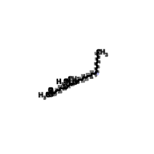 CCCCCCCC/C=C\CCCCCCCCOCC(COCCCCCC(=O)OC)N(C)C